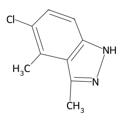 Cc1n[nH]c2ccc(Cl)c(C)c12